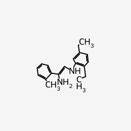 CCc1ccc(CC)c(N/C=C(\N)c2ccccc2C)c1